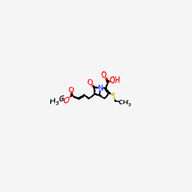 CCSC1=C(C(=O)O)N2C(=O)C(C/C=C/C(=O)OC)C2C1